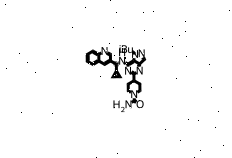 CCC(C)n1ncc2nc(C3CCN(C(N)=O)CC3)nc(N[C@@H](c3cnc4ccccc4c3)C3CC3)c21